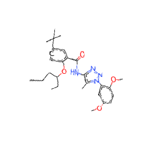 CCCC(CC)Oc1ccc(C(C)(C)C)cc1C(=O)Nc1nnn(-c2cc(OC)ccc2OC)c1C